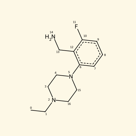 CCN1CCN(c2cccc(F)c2CN)CC1